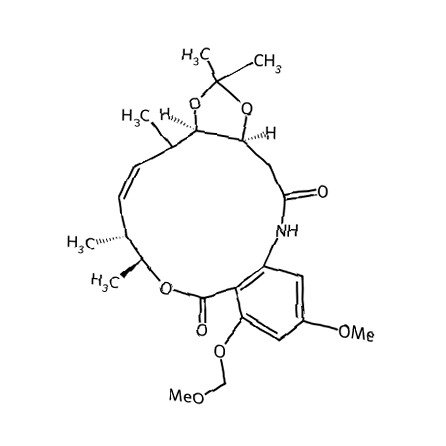 COCOc1cc(OC)cc2c1C(=O)O[C@@H](C)[C@H](C)/C=C\C(C)[C@H]1OC(C)(C)O[C@H]1CC(=O)N2